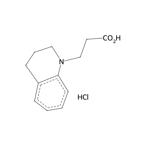 Cl.O=C(O)CCN1CCCc2ccccc21